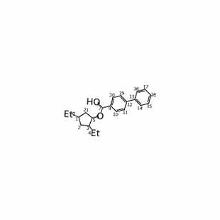 CCC1CC(CC)C(OC(O)c2ccc(-c3ccccc3)cc2)C1